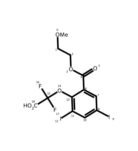 COCCOC(=O)c1cc(I)cc(I)c1OC(F)(F)C(=O)O